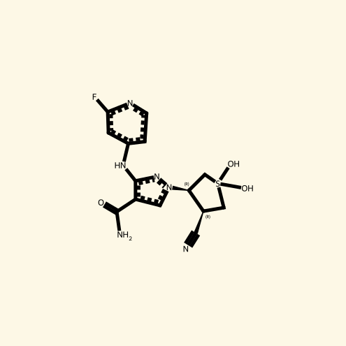 N#C[C@@H]1CS(O)(O)C[C@@H]1n1cc(C(N)=O)c(Nc2ccnc(F)c2)n1